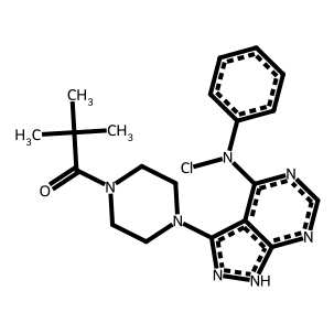 CC(C)(C)C(=O)N1CCN(c2n[nH]c3ncnc(N(Cl)c4ccccc4)c23)CC1